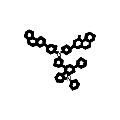 CC1C=C(c2ccc(N(c3ccc(-c4ccc5c(ccc6ccccc65)c4)cc3)c3cccc(-c4cc(-c5ccccc5)cc5c4c4ccccc4n5-c4ccccc4)c3)cc2)C=C2C=Cc3ccccc3C21